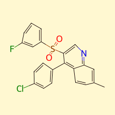 Cc1ccc2c(-c3ccc(Cl)cc3)c(S(=O)(=O)c3cccc(F)c3)cnc2c1